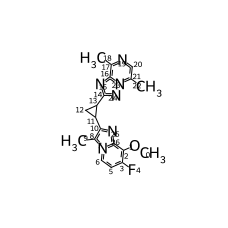 COc1c(F)ccn2c(C)c(C3CC3c3nc4c(C)ncc(C)n4n3)nc12